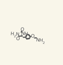 NCCOc1ccc(C[C@H](NC=O)C(N)=O)cc1